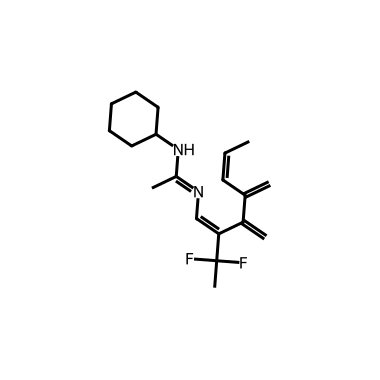 C=C(/C=C\C)C(=C)/C(=C\N=C(/C)NC1CCCCC1)C(C)(F)F